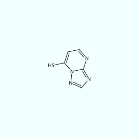 Sc1ccnc2n[c]nn12